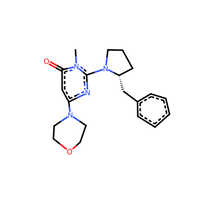 Cn1c(N2CCC[C@@H]2Cc2ccccc2)nc(N2CCOCC2)cc1=O